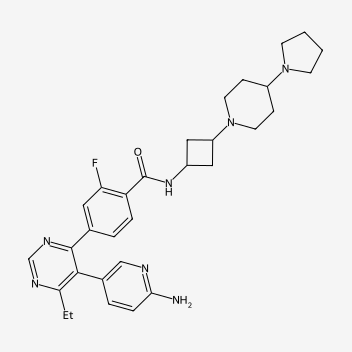 CCc1ncnc(-c2ccc(C(=O)NC3CC(N4CCC(N5CCCC5)CC4)C3)c(F)c2)c1-c1ccc(N)nc1